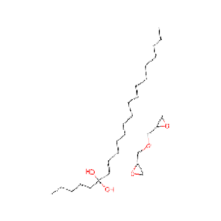 C(OCC1CO1)C1CO1.CCCCCCCCCCCCCCCCC(O)(O)CCCCC